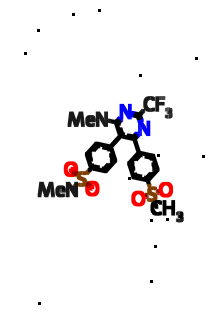 CNc1nc(C(F)(F)F)nc(-c2ccc(S(C)(=O)=O)cc2)c1-c1ccc(S(=O)(=O)NC)cc1